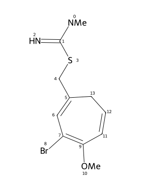 CNC(=N)SCC1=CC(Br)=C(OC)C=CC1